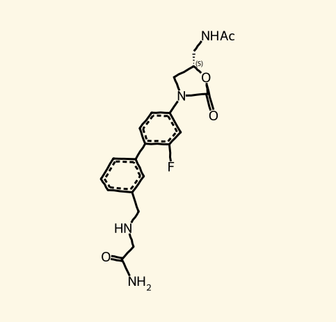 CC(=O)NC[C@H]1CN(c2ccc(-c3cccc(CNCC(N)=O)c3)c(F)c2)C(=O)O1